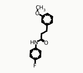 COc1cccc(CCC(=O)Nc2ccc(F)cc2)c1